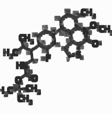 COn1c(=O)c2sccc2c2c(-c3ccc(C(CNC(=O)OC(C)(C)C)C(C)C)c(F)c3)ccc(C)c21